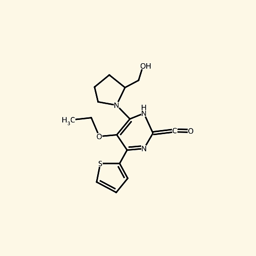 CCOC1=C(N2CCCC2CO)NC(=C=O)N=C1c1cccs1